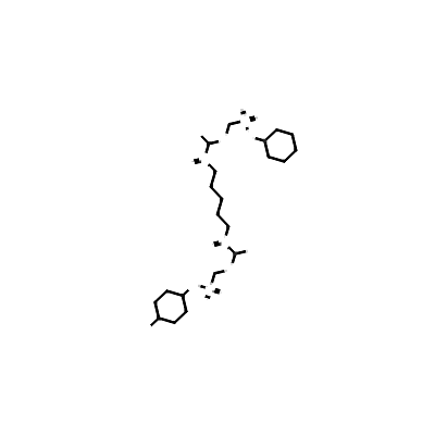 CCC1CCC(OS(=O)(=O)COC(C)[PH](=O)CCCCC[PH](=O)C(CC)OCS(=O)(=O)OC2CCCCC2)CC1